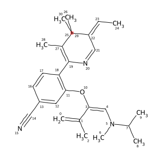 C=C(C)/C(=C\N(C)C(C)C)Oc1cc(C#N)ccc1C(/N=C\C(=C/C)CC)=C(\C)CC